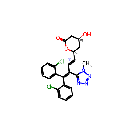 Cn1nnnc1C(/C=C/[C@@H]1C[C@@H](O)CC(=O)O1)=C(c1ccccc1Cl)c1ccccc1Cl